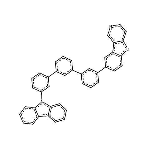 c1cc(-c2cccc(-c3ccc4oc5ccncc5c4c3)c2)cc(-c2cccc(-n3c4ccccc4c4ccccc43)c2)c1